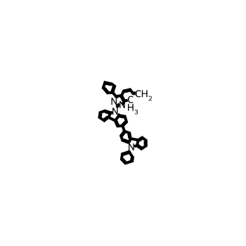 C=C/C=C\c1c(C)nc(-n2c3ccccc3c3cc(-c4ccc5c(c4)c4ccccc4n5-c4ccccc4)ccc32)nc1-c1ccccc1